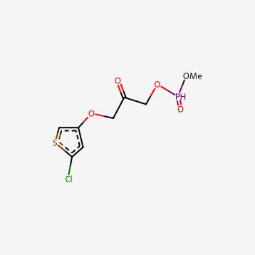 CO[PH](=O)OCC(=O)COc1csc(Cl)c1